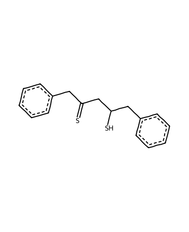 S=C(Cc1ccccc1)CC(S)Cc1ccccc1